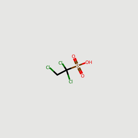 O=S(=O)(O)C(Cl)(Cl)CCl